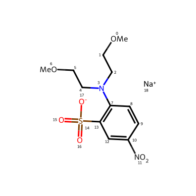 COCCN(CCOC)c1ccc([N+](=O)[O-])cc1S(=O)(=O)[O-].[Na+]